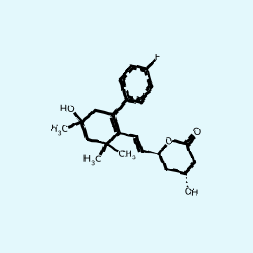 CC1(O)CC(c2ccc(F)cc2)=C(/C=C/[C@@H]2C[C@@H](O)CC(=O)O2)C(C)(C)C1